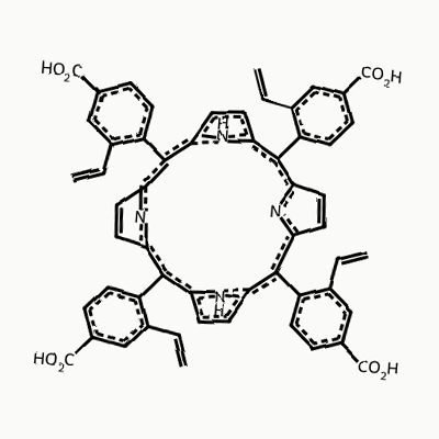 C=Cc1cc(C(=O)O)ccc1-c1c2nc(c(-c3ccc(C(=O)O)cc3C=C)c3ccc([nH]3)c(-c3ccc(C(=O)O)cc3C=C)c3nc(c(-c4ccc(C(=O)O)cc4C=C)c4ccc1[nH]4)C=C3)C=C2